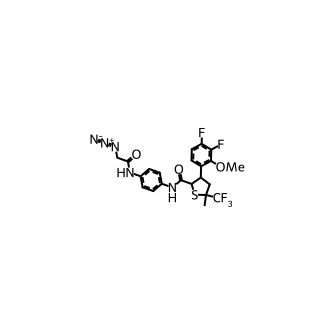 COc1c(C2CC(C)(C(F)(F)F)SC2C(=O)Nc2ccc(NC(=O)CN=[N+]=[N-])cc2)ccc(F)c1F